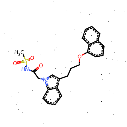 CS(=O)(=O)NC(=O)Cn1cc(CCCOc2cccc3ccccc23)c2ccccc21